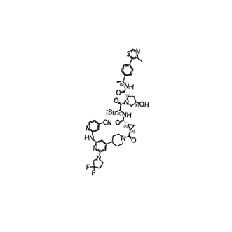 Cc1ncsc1-c1ccc([C@H](C)NC(=O)[C@@H]2C[C@@H](O)CN2C(=O)[C@@H](NC(=O)[C@@H]2C[C@H]2C(=O)N2CCC(c3cc(Nc4cc(C#N)ccn4)nc(N4CCC(F)(F)C4)c3)CC2)C(C)(C)C)cc1